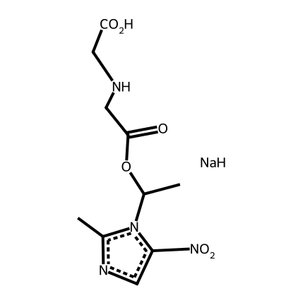 Cc1ncc([N+](=O)[O-])n1C(C)OC(=O)CNCC(=O)O.[NaH]